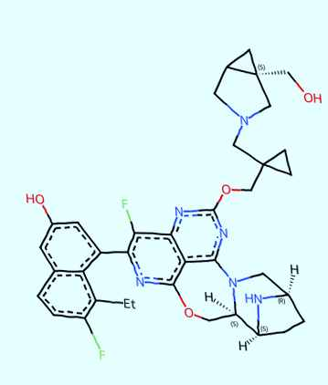 CCc1c(F)ccc2cc(O)cc(-c3nc4c5c(nc(OCC6(CN7CC8C[C@@]8(CO)C7)CC6)nc5c3F)N3C[C@H]5CC[C@H](N5)[C@H]3CO4)c12